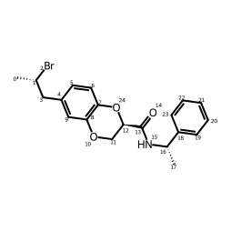 C[C@H](Br)Cc1ccc2c(c1)OC[C@H](C(=O)N[C@@H](C)c1ccccc1)O2